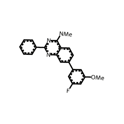 CNc1nc(-c2ccccc2)nc2cc(-c3cc(F)cc(OC)c3)ccc12